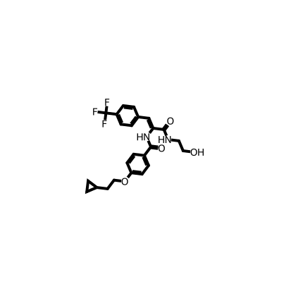 O=C(NCCO)C(=Cc1ccc(C(F)(F)F)cc1)NC(=O)c1ccc(OCCC2CC2)cc1